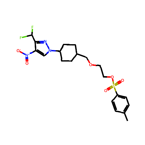 Cc1ccc(S(=O)(=O)OCCOCC2CCC(n3cc([N+](=O)[O-])c(C(F)F)n3)CC2)cc1